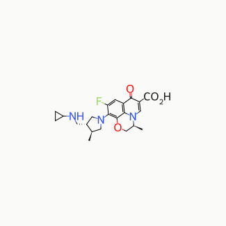 C[C@@H]1CN(c2c(F)cc3c(=O)c(C(=O)O)cn4c3c2OC[C@@H]4C)C[C@H]1CNC1CC1